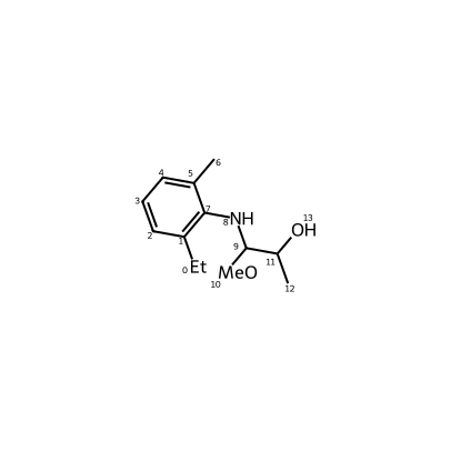 CCc1cccc(C)c1NC(OC)C(C)O